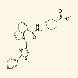 COC(=O)[C@H]1CC[C@H](CNC(=O)c2cccc3ccn(Cc4csc(-c5ccccc5)n4)c23)CC1